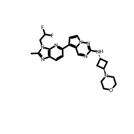 Cc1nc2ccc(-c3ccn4nc(N[C@H]5C[C@H](N6CCOCC6)C5)ncc34)nc2n1CC(F)F